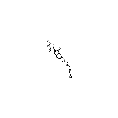 O=C1CCC(N2Cc3ccc(CNC(=O)OCC#CC4CC4)cc3C2=O)C(=O)N1